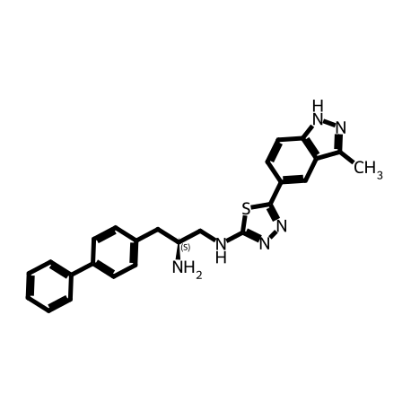 Cc1n[nH]c2ccc(-c3nnc(NC[C@@H](N)Cc4ccc(-c5ccccc5)cc4)s3)cc12